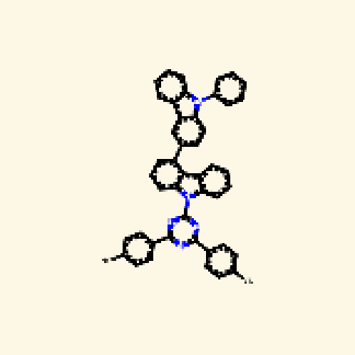 N#Cc1ccc(-c2nc(-c3ccc(C#N)cc3)nc(-n3c4ccccc4c4c(-c5ccc6c(c5)c5ccccc5n6-c5ccccc5)cccc43)n2)cc1